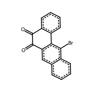 O=C1C(=O)c2cc3ccccc3c(Br)c2-c2ccccc21